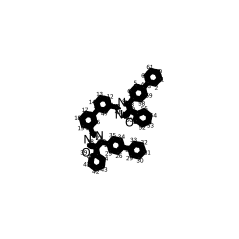 c1ccc(-c2ccc(-c3nc(-c4cccc(-c5cccc(-c6nc(-c7ccc(-c8ccccc8)cc7)c7c(n6)oc6ccccc67)c5)c4)nc4oc5ccccc5c34)cc2)cc1